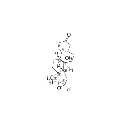 C[C@]12CC[C@H]3[C@@H](CCC4CC(=O)C=C[C@@]43O)[C@@H]1C[C@H]1O[C@H]12